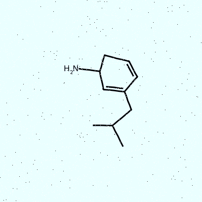 CC(C)CC1=CC(N)CC=C1